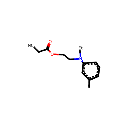 CCN(CCOC(=O)CC#N)c1cccc(C)c1